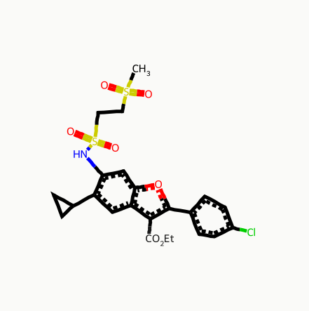 CCOC(=O)c1c(-c2ccc(Cl)cc2)oc2cc(NS(=O)(=O)CCS(C)(=O)=O)c(C3CC3)cc12